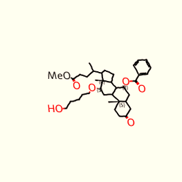 COC(=O)CCC(C)C1CCC2C3C(C[C@H](OCCCCCO)[C@]12C)[C@@]1(C)CCC(=O)CC1C[C@H]3OC(=O)c1ccccc1